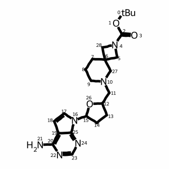 CC(C)(C)OC(=O)N1CC2(CCCN(CC3CCC(n4ccc5c(N)ncnc54)O3)C2)C1